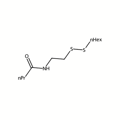 CCCCCCSSCCNC(=O)CCC